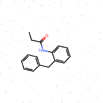 CCC(=O)Nc1ccccc1Cc1ccccc1